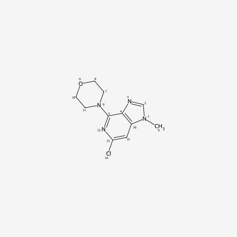 Cn1cnc2c(N3CCOCC3)nc(Cl)cc21